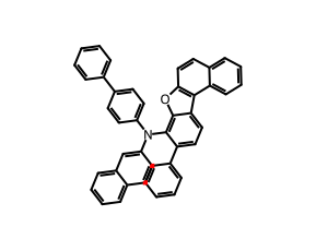 c1ccc(-c2ccc(N(c3ccc4ccccc4c3)c3c(-c4ccccc4)ccc4c3oc3ccc5ccccc5c34)cc2)cc1